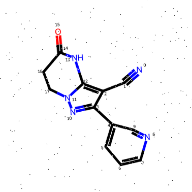 N#Cc1c(-c2cccnc2)nn2c1NC(=O)CC2